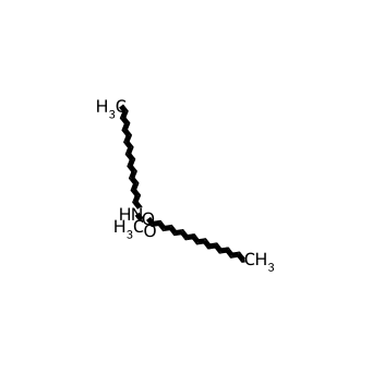 CCCCCCCCCCCCCCCCCCNC(C)OC(=O)CCCCCCCCCCCCCCCCC